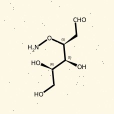 NO[C@@H](CC=O)[C@@H](O)[C@H](O)CO